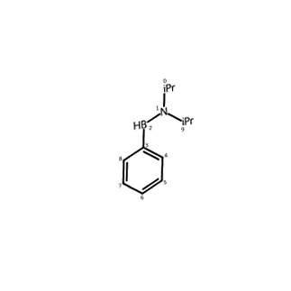 CC(C)N(Bc1ccccc1)C(C)C